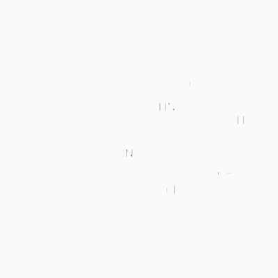 C=C(NCc1ccccc1)[C@H](NCl)C(C)C